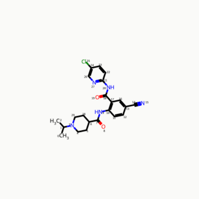 CC(C)N1CCC(C(=O)Nc2ccc(C#N)cc2C(=O)Nc2ccc(Cl)cn2)CC1